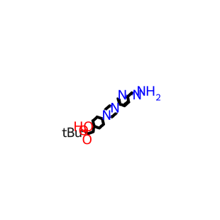 CC(C)(C)OC(=O)CC1(O)CCC(N2CCN(c3ccc(C=NN)nc3)CC2)CC1